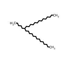 [CH2]CCCCC(CCCCCCCCCCCCCC)CCCCCCCCCCCCCC